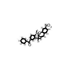 CN1c2ccc(C(=O)c3ccccc3)cc2C(C)(C)C12C=Cc1ccc([N+](=O)[O-])cc1O2